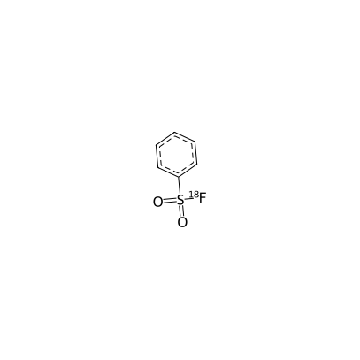 O=S(=O)([18F])c1ccccc1